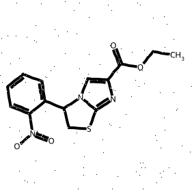 CCOC(=O)c1cn2c(n1)SCC2c1ccccc1[N+](=O)[O-]